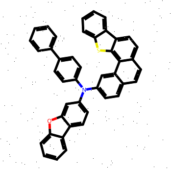 c1ccc(-c2ccc(N(c3ccc4c(c3)oc3ccccc34)c3ccc4ccc5ccc6c7ccccc7sc6c5c4c3)cc2)cc1